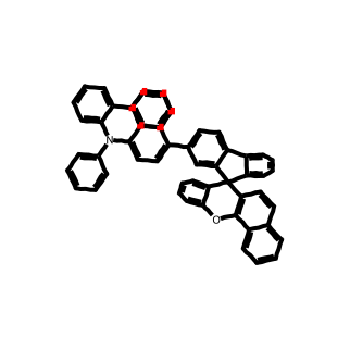 c1ccc(-c2ccccc2N(c2ccccc2)c2ccc(-c3ccc4c(c3)C3(c5ccccc5Oc5c3ccc3ccccc53)c3ccccc3-4)c3ccccc23)cc1